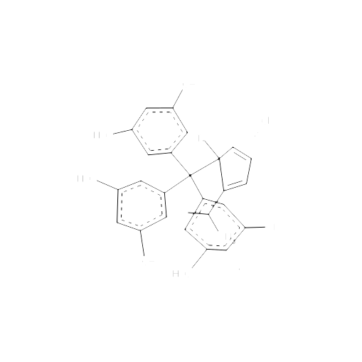 Cc1cc(C)cc(C(c2cc(C)cc(C)c2)(c2cc(C)cc(C)c2)[C]2([Ti+3])C=CC=C2C(C)C)c1.[Cl-].[Cl-].[Cl-]